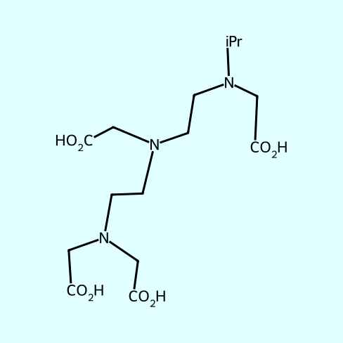 CC(C)N(CCN(CCN(CC(=O)O)CC(=O)O)CC(=O)O)CC(=O)O